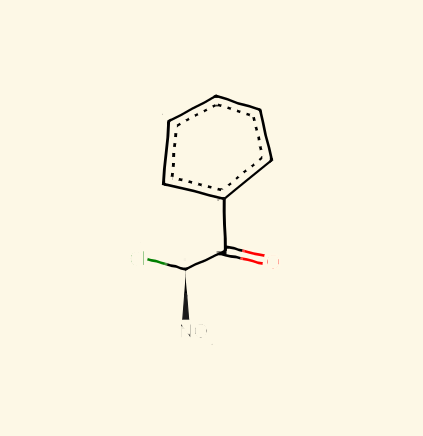 O=C(c1ccccc1)[C@H](Cl)[N+](=O)[O-]